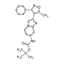 Cc1onc(-c2ccccc2)c1-c1cn2ccc(NC(=O)OC(C)(C)C)cc2n1